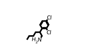 CCCCC(CN)c1ccc(Cl)cc1Cl